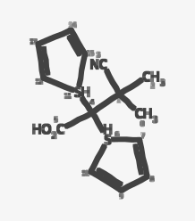 CC(C)(C#N)C(C(=O)O)([SH]1C=CC=C1)[SH]1C=CC=C1